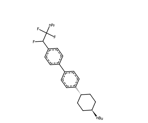 CCCC[C@H]1CC[C@H](c2ccc(-c3ccc(C(F)C(F)(F)CCC)cc3)cc2)CC1